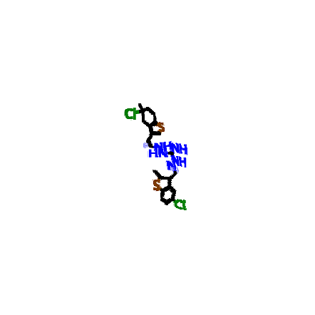 CC1Sc2ccc(Cl)cc2C1/C=N/NC(=N)NN/C=C\c1csc2c1CC(C)(Cl)C=C2